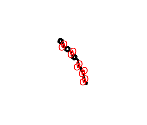 C=CC(=O)OCCOC(=O)CCC(=O)OCCc1ccc(OC(=O)C2CCC(C(=O)Oc3ccccc3)CC2)cc1